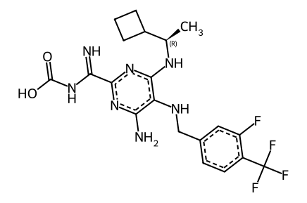 C[C@@H](Nc1nc(C(=N)NC(=O)O)nc(N)c1NCc1ccc(C(F)(F)F)c(F)c1)C1CCC1